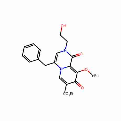 CCCCOc1c(=O)c(C(=O)OCC)cn2c(Cc3ccccc3)cn(CCO)c(=O)c12